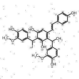 COc1cc(C(C)c2c(/C=C/c3ccc(O)cc3)cc(O)c(C(I)c3ccc(O)c(OC)c3)c2O)ccc1O